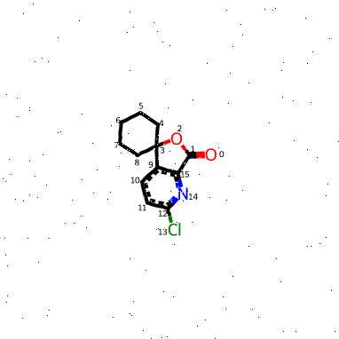 O=C1OC2(CCCCC2)c2ccc(Cl)nc21